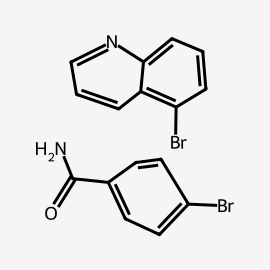 Brc1cccc2ncccc12.NC(=O)c1ccc(Br)cc1